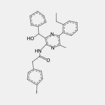 CCc1ccccc1-c1nc(C(O)c2ccccc2)c(NC(=O)Cc2ccc(I)cc2)nc1C